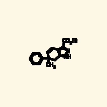 CCOC(=O)c1n[nH]c2c1C=CC(C)(c1ccccc1)C2